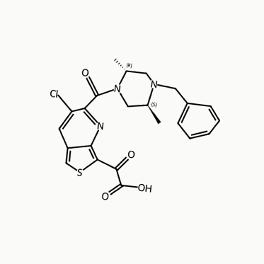 C[C@@H]1CN(Cc2ccccc2)[C@@H](C)CN1C(=O)c1nc2c(C(=O)C(=O)O)scc2cc1Cl